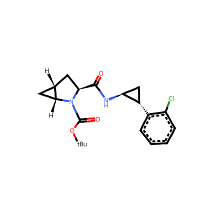 CC(C)(C)OC(=O)N1[C@@H]2C[C@@H]2C[C@H]1C(=O)N[C@H]1C[C@@H]1c1ccccc1Cl